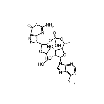 C[C@@H](OP(=O)(O)O[C@@H]1C[C@@H](CO)O[C@H]1n1cnc2c(=O)[nH]c(N)nc21)[C@H]1O[C@@H](n2cnc3c(N)ncnc32)[C@H](O)[C@@H]1O